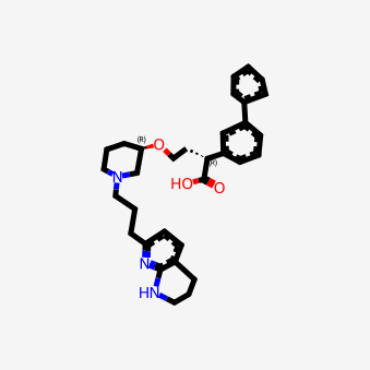 O=C(O)[C@H](CCO[C@@H]1CCCN(CCCc2ccc3c(n2)NCCC3)C1)c1cccc(-c2ccccc2)c1